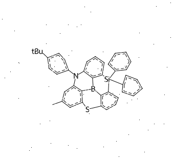 Cc1cc2c3c(c1)N(c1ccc(C(C)(C)C)cc1)c1cccc4c1B3c1c(cccc1[Si]4(c1ccccc1)c1ccccc1)S2